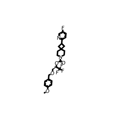 COc1ccc(COC[C@@H](OC(=O)N2CCC3(CC2)CC(c2ccc(F)cn2)C3)C(F)(F)F)cc1